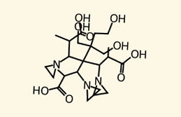 CC(C(=O)O)C(N1CC1)C(C(C(C)C(=O)O)N1CC1)(C(C(C)C(=O)O)N1CC1)C(CO)(CO)CCO